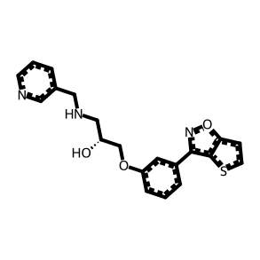 O[C@H](CNCc1cccnc1)COc1cccc(-c2noc3ccsc23)c1